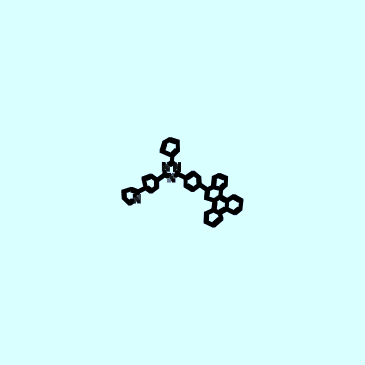 c1ccc(-c2nc(-c3ccc(-c4ccccn4)cc3)nc(-c3ccc(-c4cc5c6ccccc6c6ccccc6c5c5ccccc45)cc3)n2)cc1